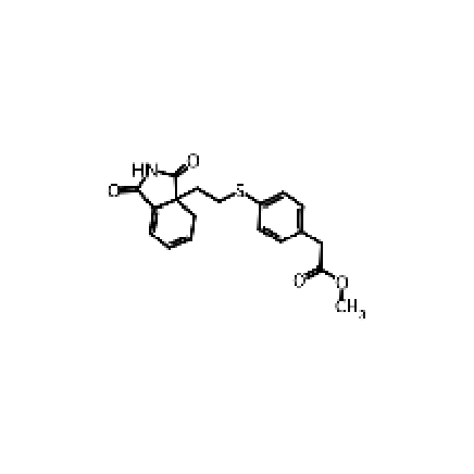 COC(=O)Cc1ccc(SCCC23CC=CC=C2C(=O)NC3=O)cc1